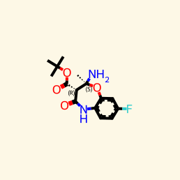 CC(C)(C)OC(=O)[C@H]1C(=O)Nc2ccc(F)cc2O[C@]1(C)N